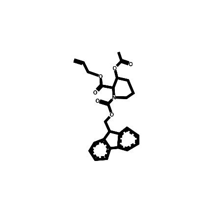 C=CCOC(=O)C1C(OC(C)=O)CCCN1C(=O)OCC1c2ccccc2-c2ccccc21